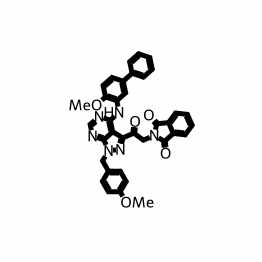 COc1ccc(Cn2nc(C(=O)CN3C(=O)c4ccccc4C3=O)c3c(Nc4cc(-c5ccccc5)ccc4OC)ncnc32)cc1